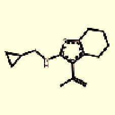 C=C(C)c1c(NCC2CC2)sc2c1CCCC2